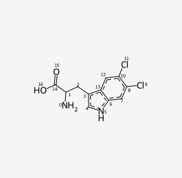 NC(Cc1c[nH]c2cc(Cl)c(Cl)cc12)C(=O)O